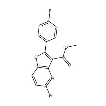 COC(=O)c1c(-c2ccc(F)cc2)oc2ccc(Br)nc12